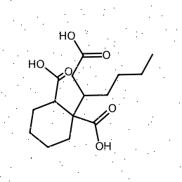 CCCCC(CC(=O)O)C1(C(=O)O)CCCCC1C(=O)O